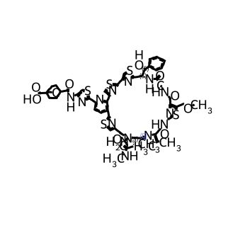 CNC(=O)C[C@H]1/C(C)=N/C(=C(C)C)C(=O)Nc2nc(c(COC)s2)C(=O)NCC(=O)N[C@@H]([C@@H](O)c2ccccc2)c2nc(cs2)-c2nc(cs2)-c2nc(-c3nc(NC(=O)C45CCC(C(=O)O)(CC4)CC5)cs3)ccc2-c2nc(cs2)C(=O)N1N